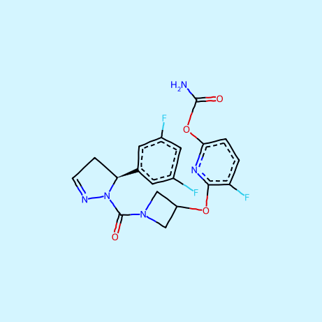 NC(=O)Oc1ccc(F)c(OC2CN(C(=O)N3N=CC[C@H]3c3cc(F)cc(F)c3)C2)n1